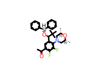 CC(=O)c1cc(C(O[SiH](c2ccccc2)c2ccccc2)C(C)(C)C)c(N2C[C@@H](C)O[C@@H](C)C2)c(F)c1F